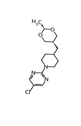 C[C@H]1OC[C@@H](CC2CCN(c3ncc(Cl)cn3)CC2)CO1